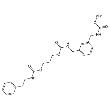 CCCOC(=O)NCc1cccc(CNC(=O)OCCCOC(=O)NCCc2ccccc2)c1